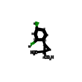 CC1(C(=O)O)CC1c1ccc(Br)cc1F